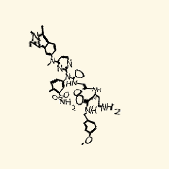 COc1ccc(CNC(=O)[C@H](CCN)NC(=O)CNC(=O)N(c2ccc(C)c(S(N)(=O)=O)c2)c2nccc(N(C)c3ccc4c(C)n(C)nc4c3)n2)cc1